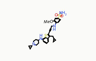 COc1cc(S(N)(=O)=O)ccc1NCC#Cc1sc2c(NC3CCN(C4CC4)CC3)cccc2c1CC1CC1